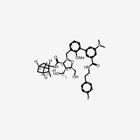 COc1c(CN2O[C@@H](CO)[C@@H]([C@H](C)O)[C@H]2C(=O)N[C@H]2C[C@H]3C[C@@H]([C@@H]2C)C3(C)C)cccc1-c1cc(C(=O)NCCc2ccc(F)cc2)cc(N(C)C)c1